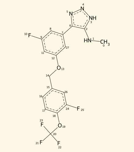 CNc1[nH]nnc1-c1cc(F)cc(OCc2ccc(OC(F)(F)F)c(F)c2)c1